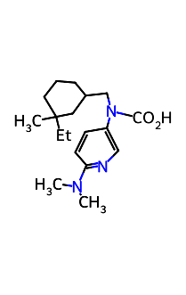 CCC1(C)CCCC(CN(C(=O)O)c2ccc(N(C)C)nc2)C1